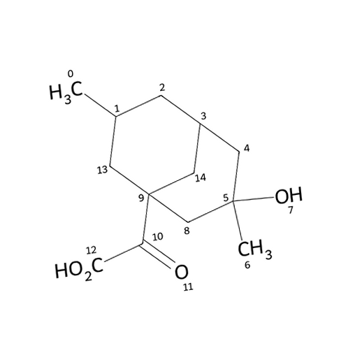 CC1CC2CC(C)(O)CC(C(=O)C(=O)O)(C1)C2